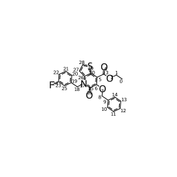 CCOC(=O)c1c(OCc2ccccc2)c(=O)n(Cc2cccc(F)c2)c2ccsc12